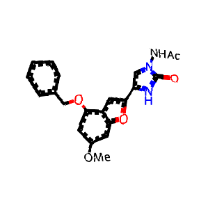 COc1cc(OCc2ccccc2)c2cc(-c3cn(NC(C)=O)c(=O)[nH]3)oc2c1